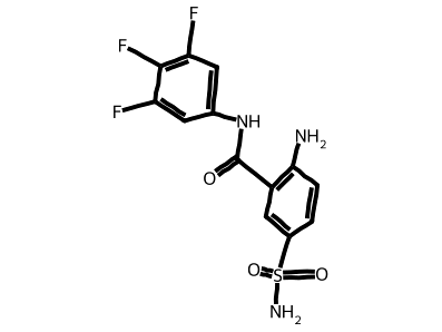 Nc1ccc(S(N)(=O)=O)cc1C(=O)Nc1cc(F)c(F)c(F)c1